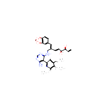 C=CC(=O)C(=O)C=CC(=Cc1ccc2c(c1)OCO2)CNc1ncnc(N)c1-c1cc(OC)c(OC)c(OC)c1